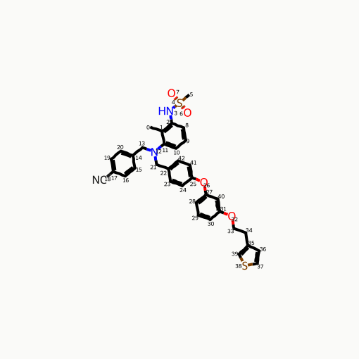 Cc1c(NS(C)(=O)=O)cccc1N(Cc1ccc(C#N)cc1)Cc1ccc(Oc2cccc(OCCc3ccsc3)c2)cc1